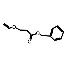 C=COCCC(=O)OCc1ccccc1